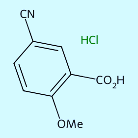 COc1ccc(C#N)cc1C(=O)O.Cl